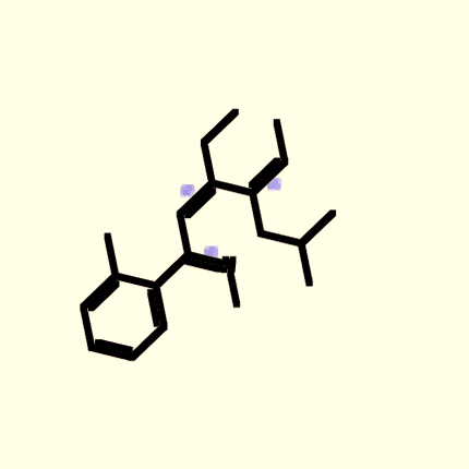 C\C=C(CC(C)C)/C(=C\C(=N\C)c1ccccc1C)CC